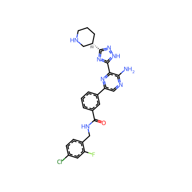 Nc1ncc(-c2cccc(C(=O)NCc3ccc(Cl)cc3F)c2)nc1-c1nc([C@H]2CCCNC2)n[nH]1